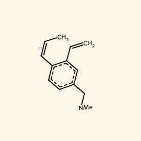 C=Cc1cc(CNC)ccc1/C=C\C